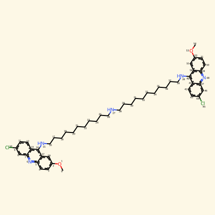 COc1ccc2nc3cc(Cl)ccc3c(NCCCCCCCCCCCNCCCCCCCCCCCNc3c4ccc(Cl)cc4nc4ccc(OC)cc34)c2c1